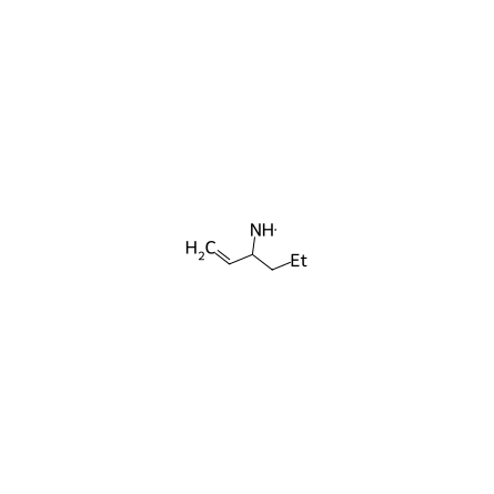 C=CC([NH])CCC